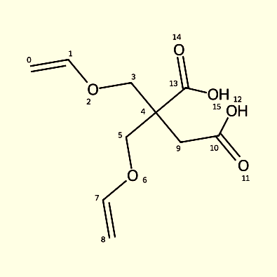 C=COCC(COC=C)(CC(=O)O)C(=O)O